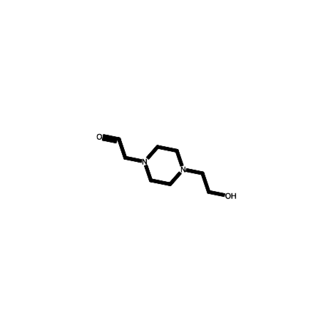 O=CCN1CCN(CCO)CC1